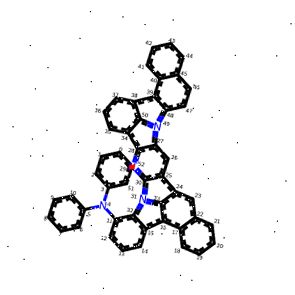 c1ccc(N(c2ccccc2)c2cccc3c4c5ccccc5cc5c6cc7c(nc6n(c23)c54)c2cccc3c4c5ccccc5ccc4n7c23)cc1